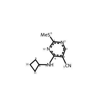 CSc1ncc(C#N)c(NC2CCC2)n1